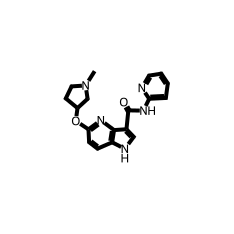 CN1CCC(Oc2ccc3[nH]cc(C(=O)Nc4ccccn4)c3n2)C1